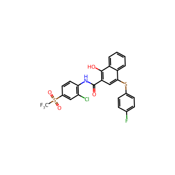 O=C(Nc1ccc(S(=O)(=O)C(F)(F)F)cc1Cl)c1cc(Sc2ccc(F)cc2)c2ccccc2c1O